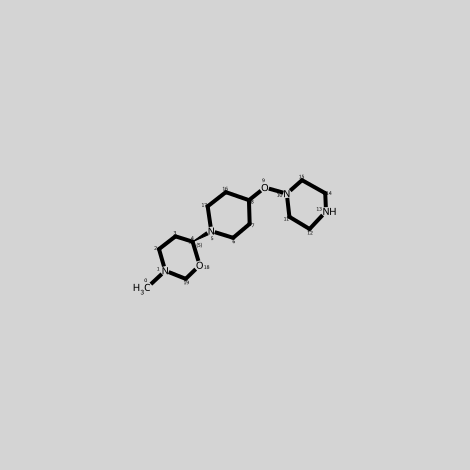 CN1CC[C@@H](N2CCC(ON3CCNCC3)CC2)OC1